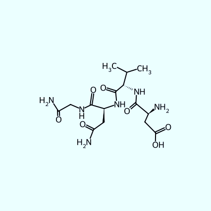 CC(C)[C@H](NC(=O)[C@@H](N)CC(=O)O)C(=O)N[C@@H](CC(N)=O)C(=O)NCC(N)=O